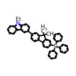 CCn1c2ccccc2c2cc(-c3ccc4c(c3)C(C)(C)c3cc([Si](c5ccccc5)(c5ccccc5)c5ccccc5)ccc3-4)ccc21